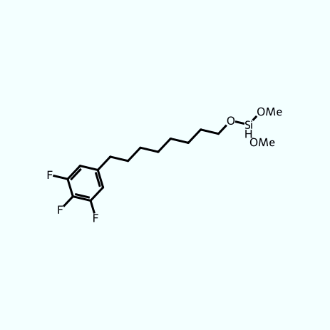 CO[SiH](OC)OCCCCCCCCc1cc(F)c(F)c(F)c1